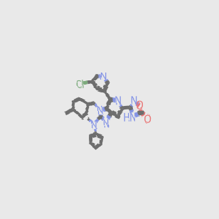 CC1CCC(Cn2c(N(C)c3ccccc3)nc3cc(-c4noc(=O)[nH]4)nc(-c4cncc(Cl)c4)c32)CC1